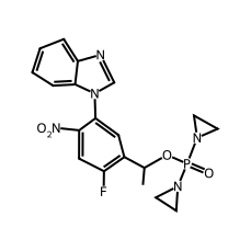 CC(OP(=O)(N1CC1)N1CC1)c1cc(-n2cnc3ccccc32)c([N+](=O)[O-])cc1F